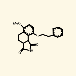 COc1ccc(OCCc2ccccc2)c2c1CCC1C(=O)NC(=O)C21